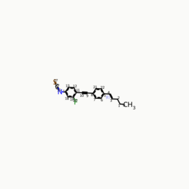 CCC/C=C/c1ccc(C#Cc2ccc(N=C=S)cc2F)cc1